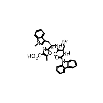 Cc1oc([C@@H](Cc2cn(C)c3ccccc23)NC(=O)C(CC(C)C)NC(=O)n2c3ccccc3c3ccccc32)nc1C(=O)O